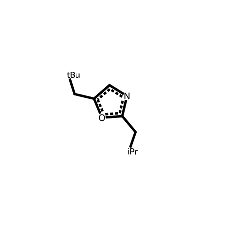 CC(C)Cc1ncc(CC(C)(C)C)o1